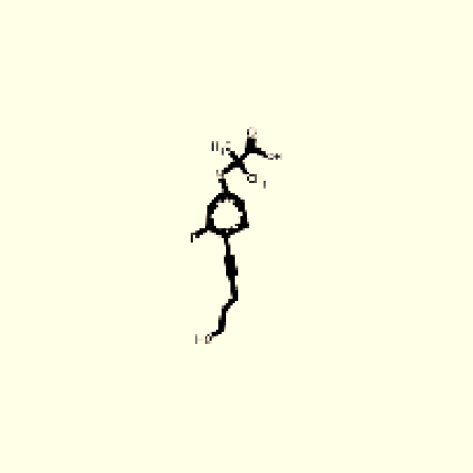 CC(C)(Nc1ccc(C#CCCCO)c(F)c1)C(=O)O